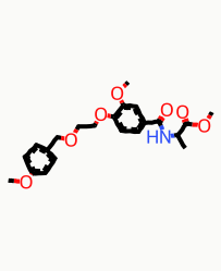 COC(=O)C(C)NC(=O)c1ccc(OCCOCc2ccc(OC)cc2)c(OC)c1